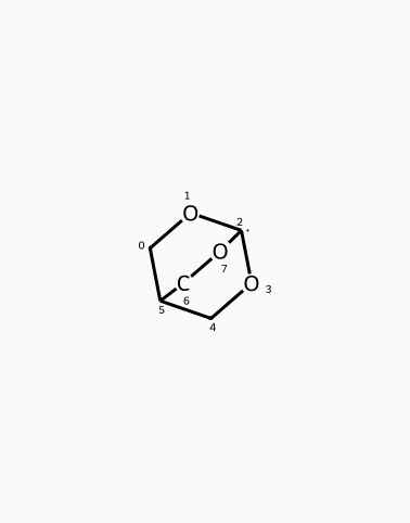 C1O[C]2OCC1CO2